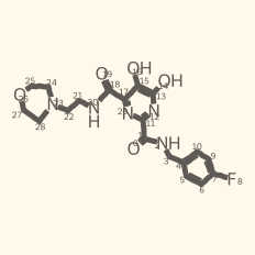 O=C(NCc1ccc(F)cc1)c1nc(O)c(O)c(C(=O)NCCN2CCOCC2)n1